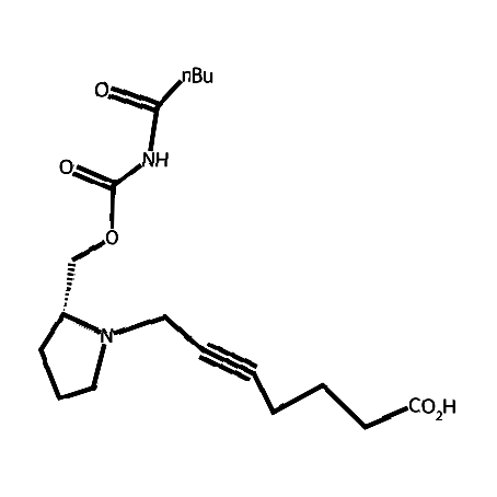 CCCCC(=O)NC(=O)OC[C@H]1CCCN1CC#CCCCC(=O)O